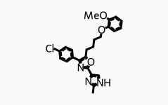 COc1ccccc1OCCCCc1oc(-c2c[nH]c(C)n2)nc1-c1ccc(Cl)cc1